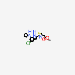 CCOC(=O)CC1CSC(c2cc3cc(Cl)cc(NC4CCCC4)c3[nH]2)=N1